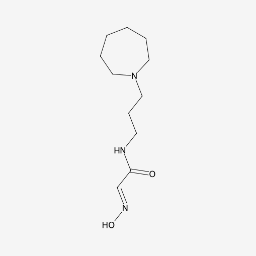 O=C(C=NO)NCCCN1CCCCCC1